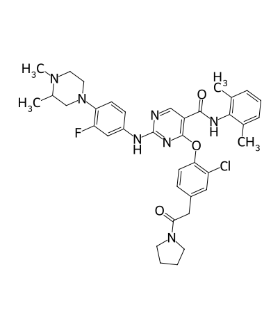 Cc1cccc(C)c1NC(=O)c1cnc(Nc2ccc(N3CCN(C)C(C)C3)c(F)c2)nc1Oc1ccc(CC(=O)N2CCCC2)cc1Cl